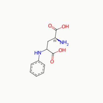 N[C@@H](CC(Nc1ccccc1)C(=O)O)C(=O)O